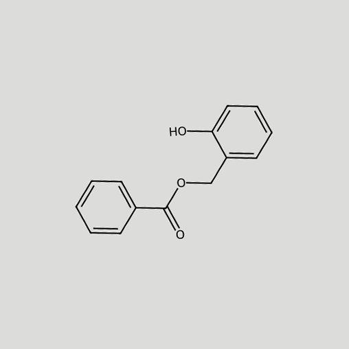 O=C(OCc1ccccc1O)c1ccccc1